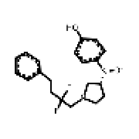 [O-][S+](c1ccc(O)cc1)[C@@H]1CCN(CC(F)(F)CCc2ccccc2)C1